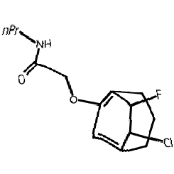 CCCNC(=O)COC1=C2CCCC(=C1)C(Cl)C2F